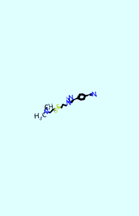 CN(C)CCSSCCCn1cc(-c2ccc(C#N)cc2)nn1